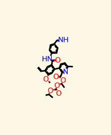 C=Cc1cc(C(=O)Nc2ccc(C=N)cc2)c(-c2ccc(C)nc2C(=O)OC(C)OC(=O)OC(C)C)cc1OC